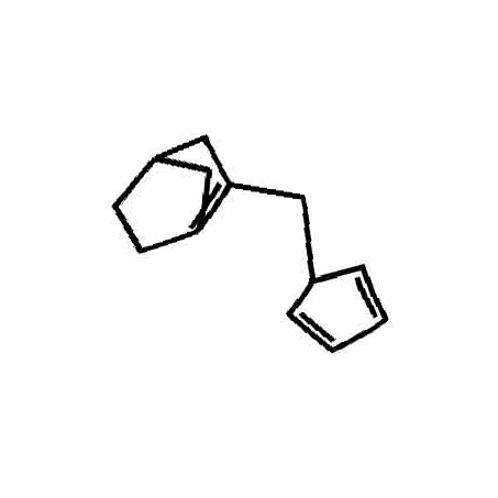 C1=CC(CC2=C3CCC(C3)C2)C=C1